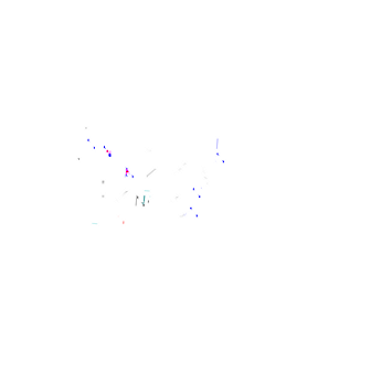 N#Cc1cnn2cc(NCCF)cc(-c3ccc(N4CC5CC(C4)N5Cc4ccc(OC(F)F)c(F)c4)nc3)c12